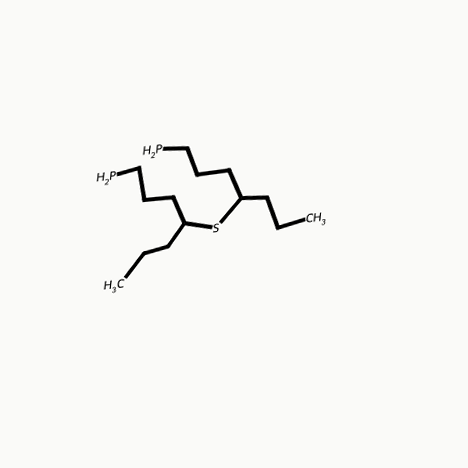 CCCC(CCCP)SC(CCC)CCCP